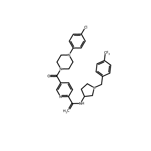 C=C(NC1CCN(Cc2ccc(C(F)(F)F)cc2)C1)c1ccc(C(=O)N2CCN(c3ccc(Cl)cc3)CC2)cn1